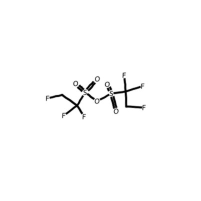 O=S(=O)(OS(=O)(=O)C(F)(F)CF)C(F)(F)CF